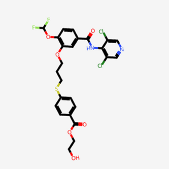 O=C(Nc1c(Cl)cncc1Cl)c1ccc(OC(F)F)c(OCCCSc2ccc(C(=O)OCCO)cc2)c1